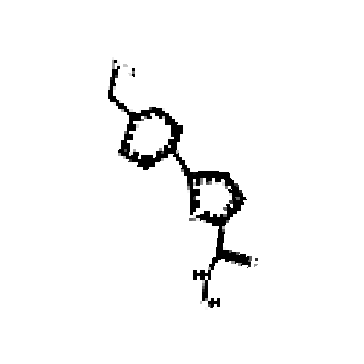 NCc1ccc(-c2ccc(C(=O)NO)s2)cc1